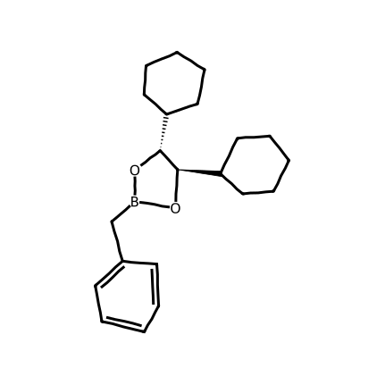 c1ccc(CB2O[C@H](C3CCCCC3)[C@@H](C3CCCCC3)O2)cc1